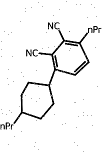 CCCc1ccc(C2CCC(CCC)CC2)c(C#N)c1C#N